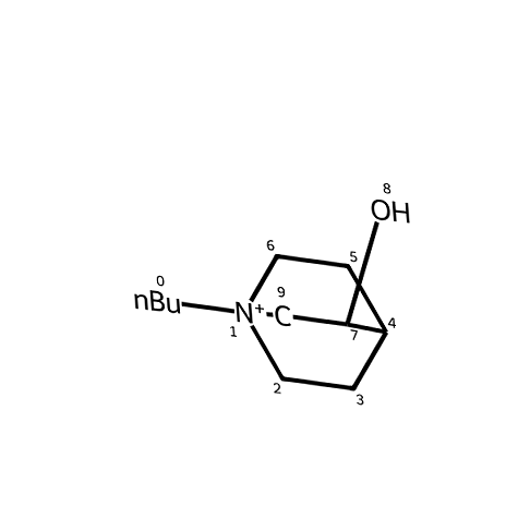 CCCC[N+]12CCC(CC1)C(O)C2